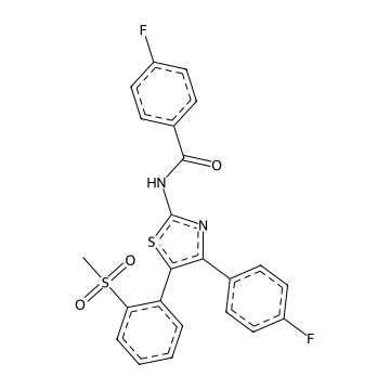 CS(=O)(=O)c1ccccc1-c1sc(NC(=O)c2ccc(F)cc2)nc1-c1ccc(F)cc1